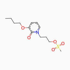 CCCCOc1cccn(CCCOS(C)(=O)=O)c1=O